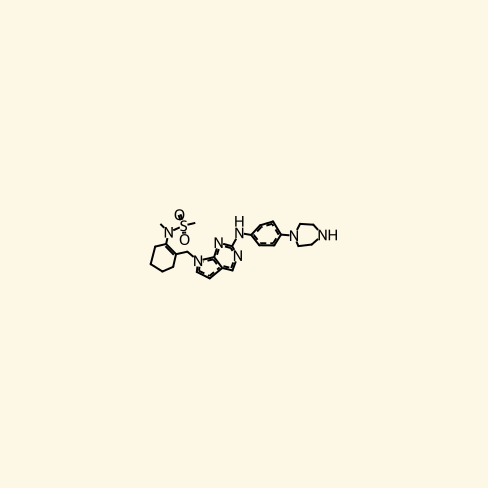 CN(C1=C(Cn2ccc3cnc(Nc4ccc(N5CCNCC5)cc4)nc32)CCCC1)S(C)(=O)=O